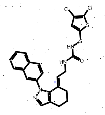 O=C(NC/C=C1\CCCc2cnn(-c3ccc4ccccc4c3)c21)NSc1cc(Cl)c(Cl)s1